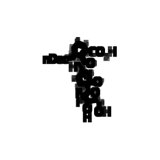 CCCCCCCCCCCc1cccc(C(=O)O)c1C(=O)Nc1ccn([C@@H]2O[C@H](CO)[C@@H](O)C2(F)F)c(=O)n1